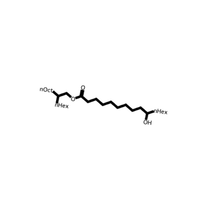 CCCCCCCCC(CCCCCC)COC(=O)CCCCCCCCC(O)CCCCCC